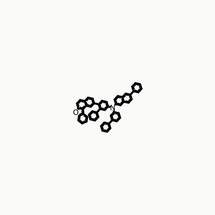 c1ccc(-c2cccc(N(c3ccc(-c4ccc5ccc6oc7ccccc7c6c5c4)c(-c4ccccc4)c3)c3ccc4cc(-c5ccccc5)ccc4c3)c2)cc1